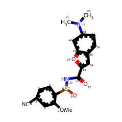 COc1cc(C#N)ccc1[S+]([O-])NC(=O)c1cc2ccc(N(C)C)cc2o1